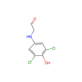 O=[C]CNc1cc(Cl)c(O)c(Cl)c1